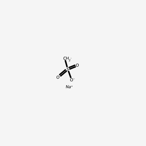 [CH2]S(=O)(=O)[O-].[Na+]